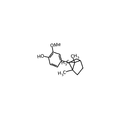 COc1cc(C2CC3CCC2(C)C3(C)C)ccc1O